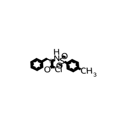 Cc1ccc(S(=O)(=O)N[C@H](Cc2ccccc2)C(=O)Cl)cc1